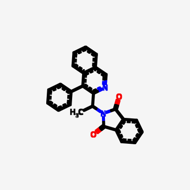 CC(c1ncc2ccccc2c1-c1ccccc1)N1C(=O)c2ccccc2C1=O